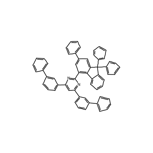 c1ccc(-c2cccc(-c3cc(-c4cccc(-c5ccccc5)c4)nc(-c4cc(-c5ccccc5)cc5c4-c4ccccc4C5(c4ccccc4)c4ccccc4)n3)c2)cc1